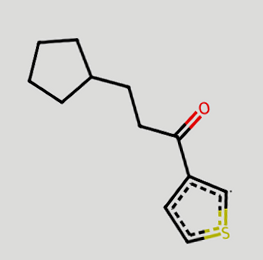 O=C(CCC1CCCC1)c1[c]scc1